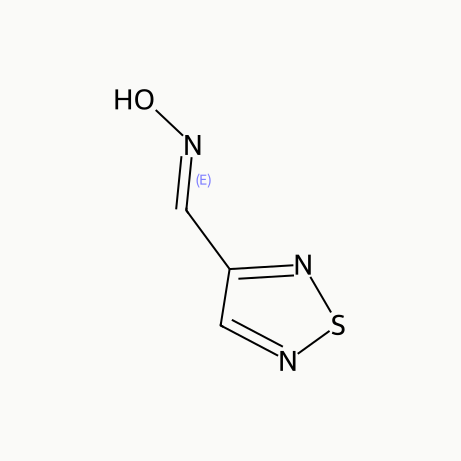 O/N=C/c1cnsn1